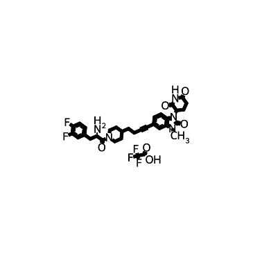 Cn1c(=O)n(C2CCC(=O)NC2=O)c2ccc(C#CCCC3CCN(C(=O)[C@@H](N)Cc4ccc(F)c(F)c4)CC3)cc21.O=C(O)C(F)(F)F